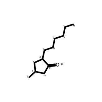 CCCCCCC1CC(C)CC1=O